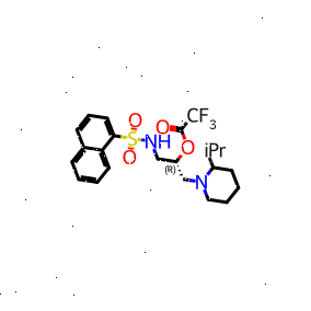 CC(C)C1CCCCN1C[C@H](CNS(=O)(=O)c1cccc2ccccc12)OC(=O)C(F)(F)F